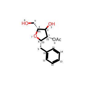 CC(=O)O[C@H]1C(O)[C@@H](CO)O[C@H]1Cc1ccccc1